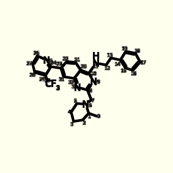 CC1CCCCN1Cc1nc(NCCc2ccccc2)c2ccc(-c3ncccc3C(F)(F)F)cc2n1